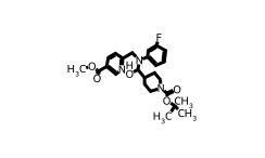 COC(=O)c1ccc(CN(c2cccc(F)c2)C(O)C2CCN(C(=O)OC(C)(C)C)CC2)nc1